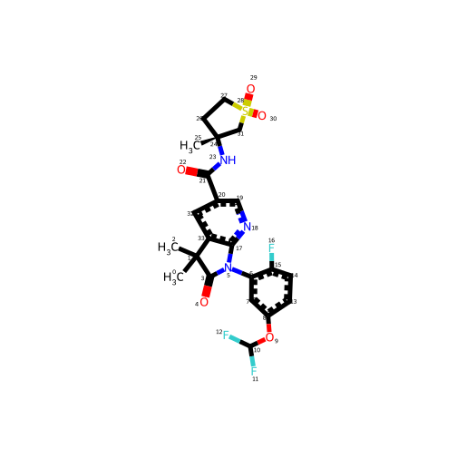 CC1(C)C(=O)N(c2cc(OC(F)F)ccc2F)c2ncc(C(=O)N[C@]3(C)CCS(=O)(=O)C3)cc21